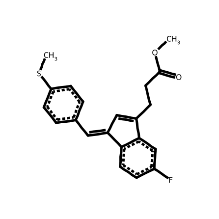 COC(=O)CCC1=CC(=Cc2ccc(SC)cc2)c2ccc(F)cc21